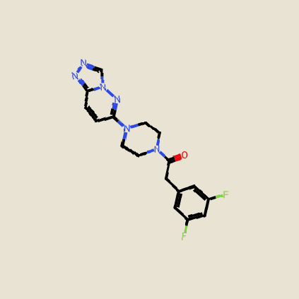 O=C(Cc1cc(F)cc(F)c1)N1CCN(c2ccc3nncn3n2)CC1